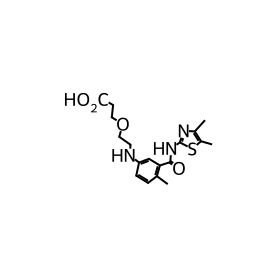 Cc1ccc(NCCOCCC(=O)O)cc1C(=O)Nc1nc(C)c(C)s1